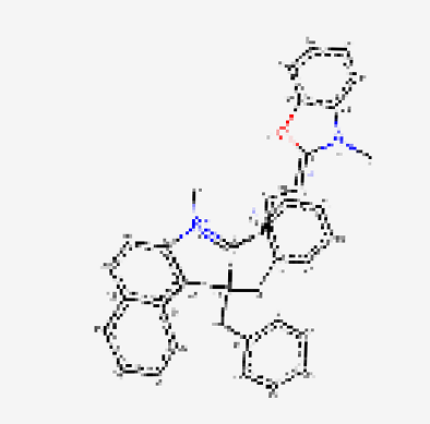 CN1/C(=C/C=C/C2=[N+](C)c3ccc4ccccc4c3C2(Cc2ccccc2)Cc2ccccc2)Oc2ccccc21